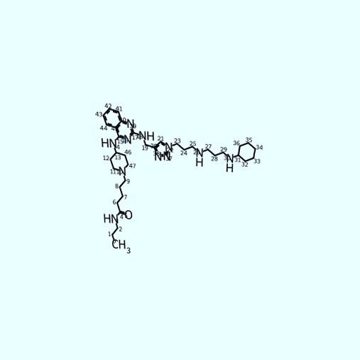 CCCNC(=O)CCCCN1CCC(Nc2nc(NCc3cn(CCCNCCCNC4CCCCC4)nn3)nc3ccccc23)CC1